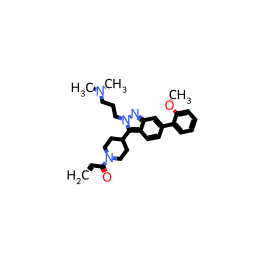 C=CC(=O)N1CCC(c2c3ccc(-c4ccccc4OC)cc3nn2CCCN(C)C)CC1